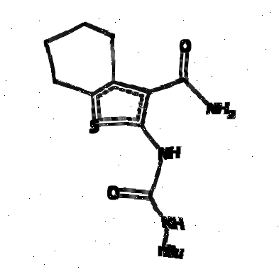 CCCCNC(=O)Nc1sc2c(c1C(N)=O)CCCC2